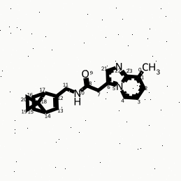 Cc1cccn2c(CC(=O)NCC3=CC4CCC3C43CC3)cnc12